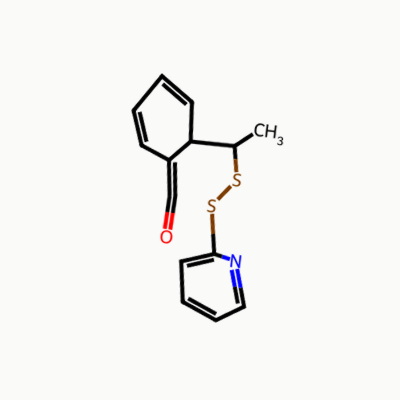 CC(SSc1ccccn1)C1C=CC=CC1=C=O